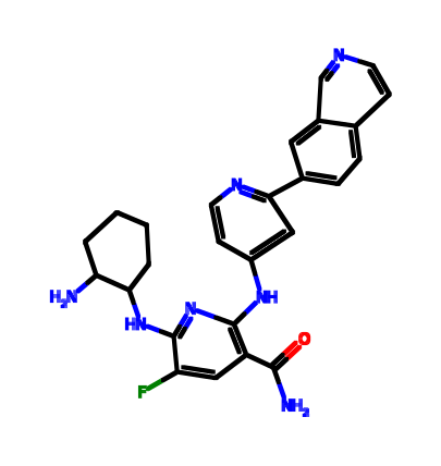 NC(=O)c1cc(F)c(NC2CCCCC2N)nc1Nc1ccnc(-c2ccc3ccncc3c2)c1